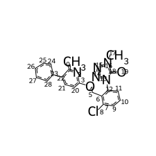 Cc1nc(OCc2c(Cl)cccc2-n2nnn(C)c2=O)ccc1-c1ccccc1